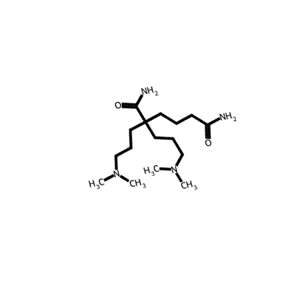 CN(C)CCCC(CCCC(N)=O)(CCCN(C)C)C(N)=O